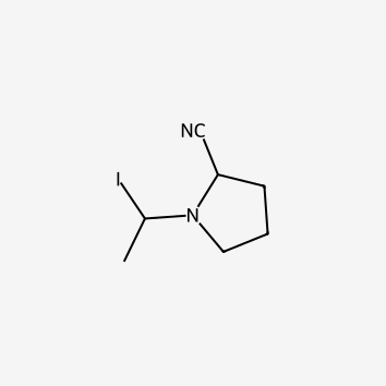 CC(I)N1CCCC1C#N